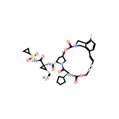 C=C[C@@H]1C[C@]1(NC(=O)[C@@H]1C[C@@H]2CN1C(=O)[C@H](C1CCCC1)NC(=O)OCCC/C=C/c1ccc(F)c3c1CN(C3)C(=O)O2)C(=O)NS(=O)(=O)C1CC1